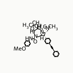 COc1ccc(NC(=O)N2C[C@H]3OC(C)(C)O[C@H]3CN3[C@H](CN(C)C)[C@H](c4ccc(C#Cc5ccccc5)cc4)[C@@H]3C2)cc1